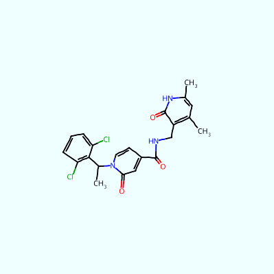 Cc1cc(C)c(CNC(=O)c2ccn(C(C)c3c(Cl)cccc3Cl)c(=O)c2)c(=O)[nH]1